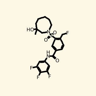 CC1(O)CCCCCN(S(=O)(=O)c2cc(C(=O)Nc3cc(F)c(F)c(F)c3)ccc2CF)C1